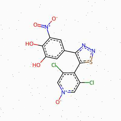 O=[N+]([O-])c1cc(-c2nnsc2-c2c(Cl)c[n+]([O-])cc2Cl)cc(O)c1O